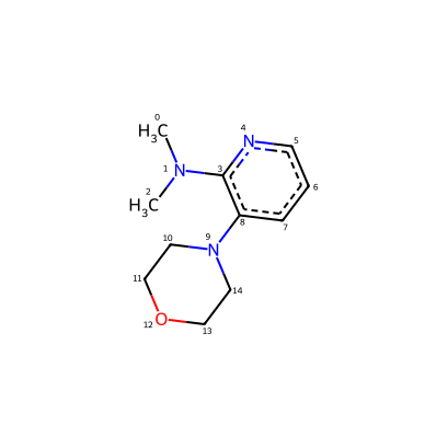 CN(C)c1ncccc1N1CCOCC1